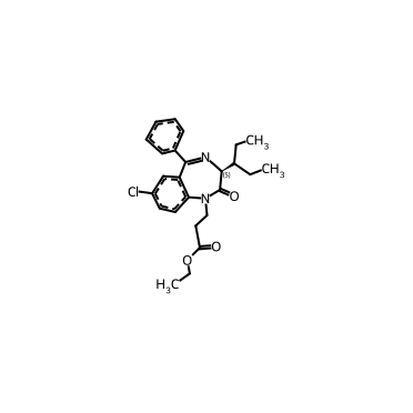 CCOC(=O)CCN1C(=O)[C@H](C(CC)CC)N=C(c2ccccc2)c2cc(Cl)ccc21